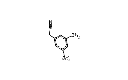 Bc1cc(B)cc(CC#N)c1